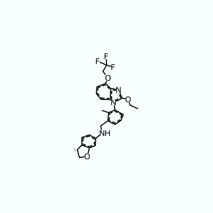 CCOc1nc2c(OCC(F)(F)F)cccc2n1-c1cccc(CNc2ccc3c(c2)OC[C]3)c1C